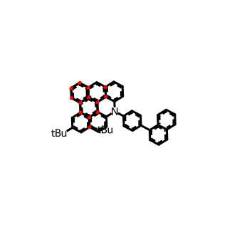 CC(C)(C)c1cc(-c2cccc3cccc(-c4ccccc4N(c4ccc(-c5cccc6ccccc56)cc4)c4ccccc4-c4cccc5ccccc45)c23)cc(C(C)(C)C)c1